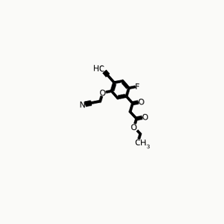 C#Cc1cc(F)c(C(=O)CC(=O)OCC)cc1OCC#N